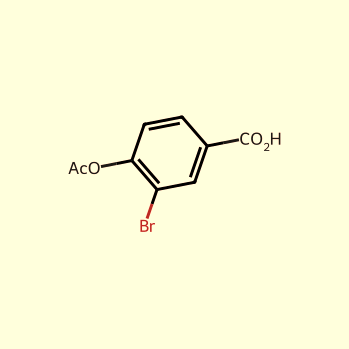 CC(=O)Oc1ccc(C(=O)O)cc1Br